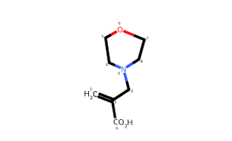 C=C(CN1CCOCC1)C(=O)O